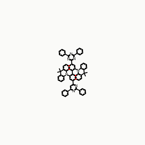 CC1(C)c2ccccc2N(c2cc(-c3cc(-c4ccccc4)nc(-c4ccccc4)n3)ccc2-c2ccc(-c3nc(-c4ccccc4)nc(-c4ccccc4)n3)cc2N2c3ccccc3C(C)(C)c3ccccc32)c2ccccc21